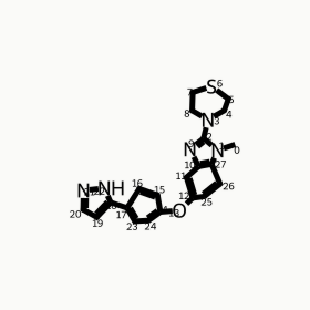 Cn1c(N2CCSCC2)nc2cc(Oc3ccc(-c4ccn[nH]4)cc3)ccc21